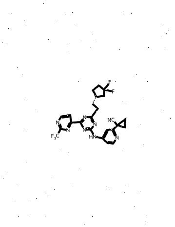 N#CC1(c2cc(Nc3nc(CC[C@@H]4CCC(F)(F)C4)nc(-c4ccnc(C(F)(F)F)n4)n3)ccn2)CC1